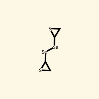 C1SC1[Se][Se]C1CS1